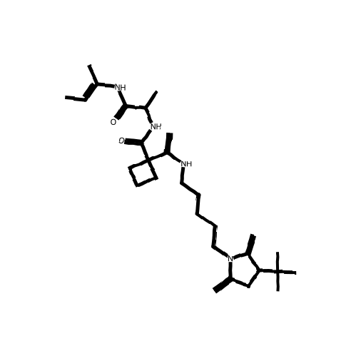 C=C1CC(C(C)(C)C)C(=C)N1CCCCCNC(=C)C1(C(=O)NC(C)C(=O)N/C(C)=C/C)CCC1